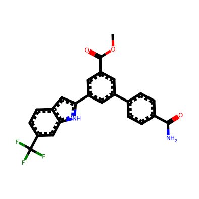 COC(=O)c1cc(-c2ccc(C(N)=O)cc2)cc(-c2cc3ccc(C(F)(F)F)cc3[nH]2)c1